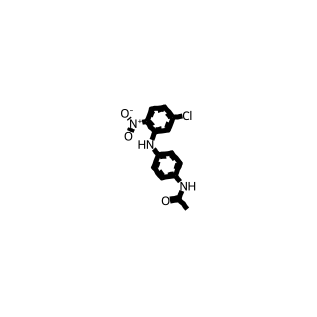 CC(=O)Nc1ccc(Nc2cc(Cl)ccc2[N+](=O)[O-])cc1